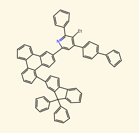 CCc1c(-c2ccc(-c3ccccc3)cc2)cc(-c2ccc3c(c2)c2ccccc2c2cccc(-c4ccc5c(c4)C(c4ccccc4)(c4ccccc4)c4ccccc4-5)c23)nc1-c1ccccc1